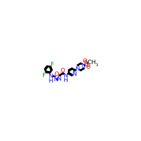 CS(=O)(=O)N1CCN(c2ccc(NC(=O)c3nnc(Nc4cc(F)ccc4F)o3)cn2)CC1